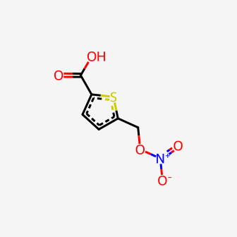 O=C(O)c1ccc(CO[N+](=O)[O-])s1